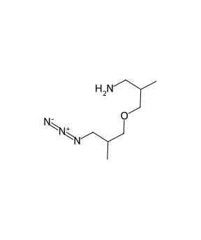 CC(CN)COCC(C)CN=[N+]=[N-]